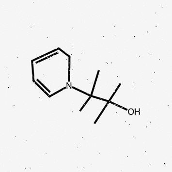 CC(C)(O)C(C)(C)N1C=CC=CC1